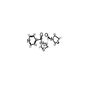 O=C([C@@H]1CSCN1C(=O)c1ccncc1)N1CCSC1